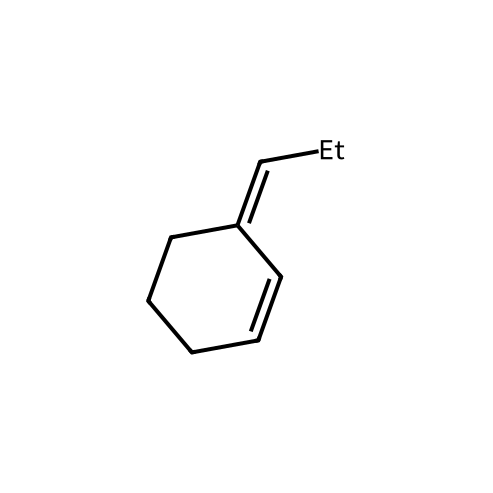 CCC=C1C=CCCC1